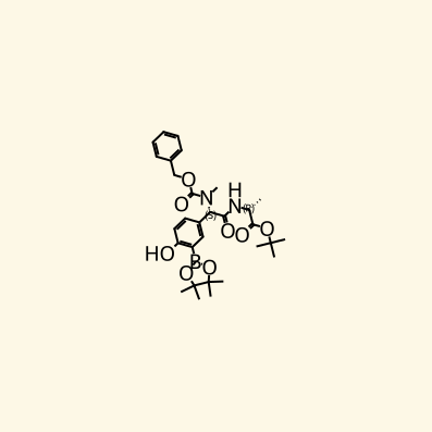 C[C@@H](NC(=O)[C@H](c1ccc(O)c(B2OC(C)(C)C(C)(C)O2)c1)N(C)C(=O)OCc1ccccc1)C(=O)OC(C)(C)C